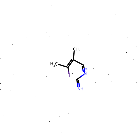 CC(I)=C(C)/C=N\C=N